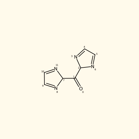 O=C(C1N=CC=N1)C1N=CC=N1